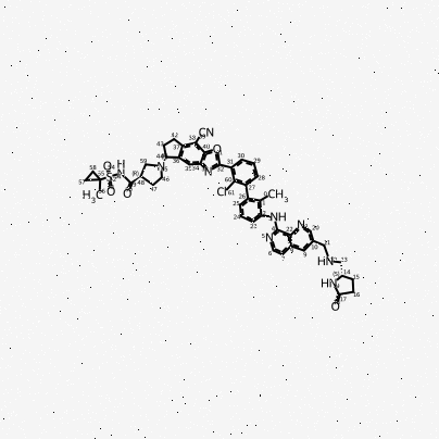 Cc1c(Nc2nccc3cc(CNC[C@@H]4CCC(=O)N4)cnc23)cccc1-c1cccc(-c2nc3cc4c(c(C#N)c3o2)CC[C@H]4N2CC[C@@H](C(=O)NS(=O)(=O)C3(C)CC3)C2)c1Cl